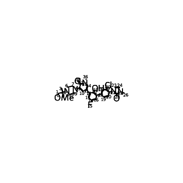 COCC(C)(C)N1CCN(c2cc(-c3cc(F)cc(-c4ccc(-n5ccn(C)c5=O)c(Cl)c4)c3O)cn(C)c2=O)CC1